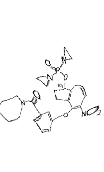 O=C(c1cccc(Oc2c([N+](=O)[O-])ccc3c2CC[C@@H]3OP(=O)(N2CC2)N2CC2)c1)N1CCCCC1